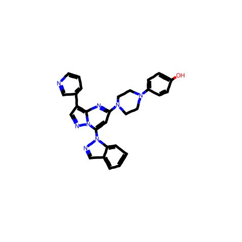 Oc1ccc(N2CCN(c3cc(-n4ncc5ccccc54)n4ncc(-c5cccnc5)c4n3)CC2)cc1